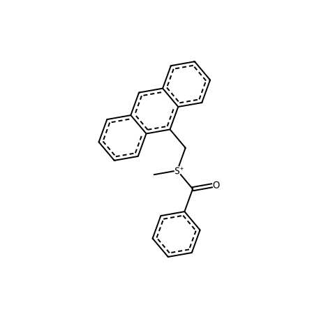 C[S+](Cc1c2ccccc2cc2ccccc12)C(=O)c1ccccc1